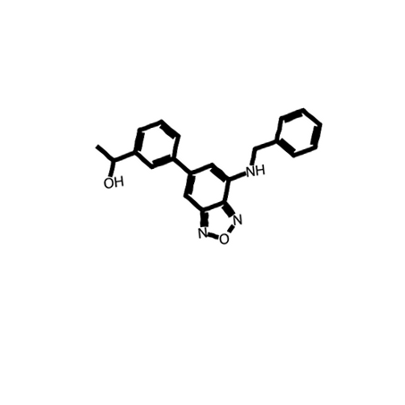 CC(O)c1cccc(-c2cc(NCc3ccccc3)c3nonc3c2)c1